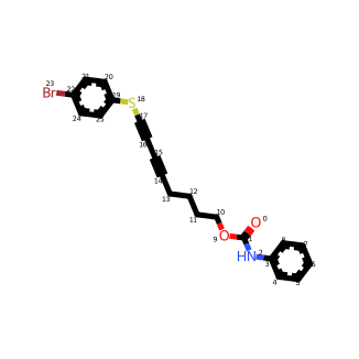 O=C(Nc1ccccc1)OCCCCC#CC#CSc1ccc(Br)cc1